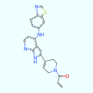 C=CC(=O)N1CC=C(c2cc3c(Nc4ccc5ncsc5c4)ccnc3[nH]2)CC1